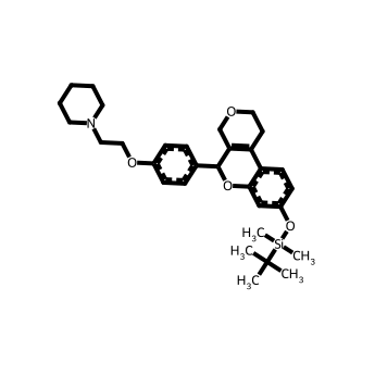 CC(C)(C)[Si](C)(C)Oc1ccc2c(c1)OC(c1ccc(OCCN3CCCCC3)cc1)C1=C2CCOC1